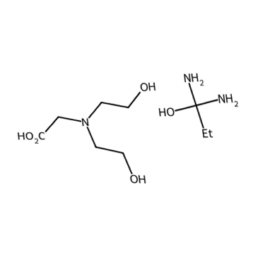 CCC(N)(N)O.O=C(O)CN(CCO)CCO